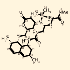 CNC(=O)COCCNC(=O)O[C@H]1C[C@@H](C)C=C2C=C[C@H](C)[C@H](CC[C@@H]3C[C@@H](O[Si](C)(C)C(C)(C)C)CC(=O)O3)[C@H]21